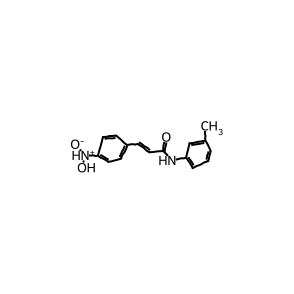 Cc1cccc(NC(=O)/C=C/c2ccc([NH+]([O-])O)cc2)c1